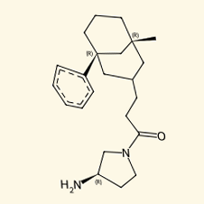 C[C@@]12CCC[C@@](c3ccccc3)(CC(CCC(=O)N3CC[C@@H](N)C3)C1)C2